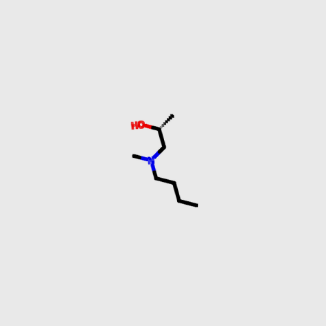 CCCCN(C)C[C@@H](C)O